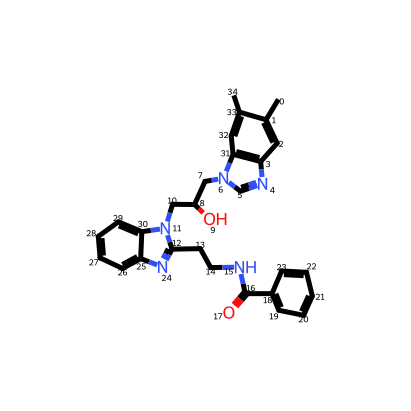 Cc1cc2ncn(CC(O)Cn3c(CCNC(=O)c4ccccc4)nc4ccccc43)c2cc1C